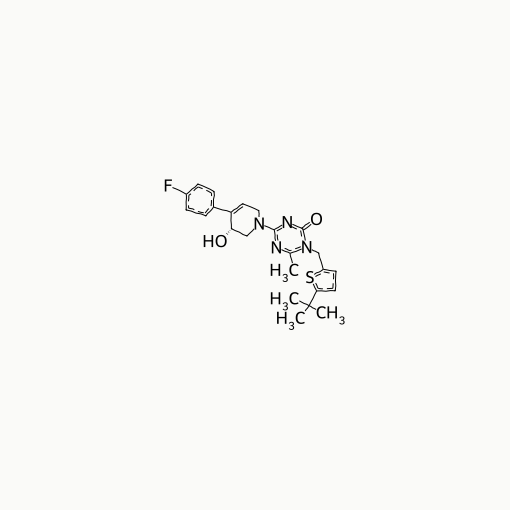 Cc1nc(N2CC=C(c3ccc(F)cc3)[C@@H](O)C2)nc(=O)n1Cc1ccc(C(C)(C)C)s1